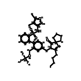 CCCCC1=NC2(CCCC2)C(=O)N1Cc1ccc(-c2ccccc2S(=O)(=O)Nc2noc(C)c2C)c(COC(F)(F)F)c1